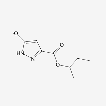 CCC(C)OC(=O)c1cc([O])[nH]n1